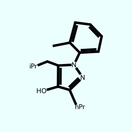 CCCc1nn(-c2ccccc2C)c(CC(C)C)c1O